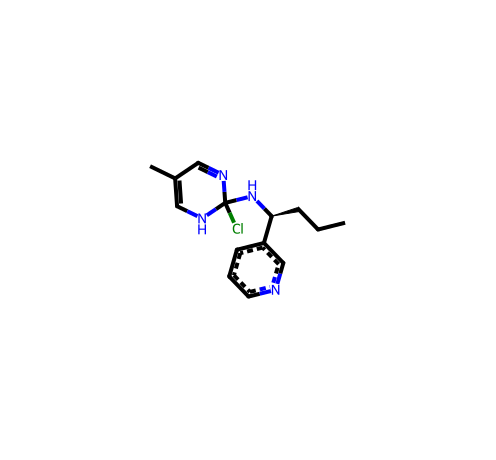 CCC[C@H](NC1(Cl)N=CC(C)=CN1)c1cccnc1